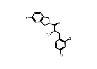 N[C@H](Cc1ccc(Cl)cc1Cl)C(=O)N1Cc2ccc(F)cc2C1